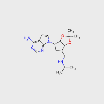 CC(C)NCC1CC(n2ccc3c(N)ncnc32)C2OC(C)(C)OC12